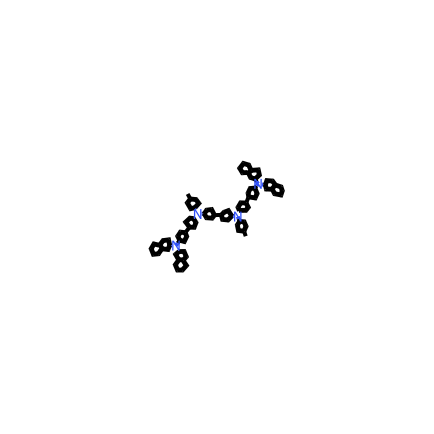 Cc1ccc(N(c2ccc(-c3ccc(N(c4ccc(C)cc4)c4ccc(-c5ccc(N(c6ccc7ccccc7c6)c6ccc7ccccc7c6)cc5)cc4)cc3)cc2)c2ccc(-c3ccc(N(c4ccc5ccccc5c4)c4ccc5ccccc5c4)cc3)cc2)cc1